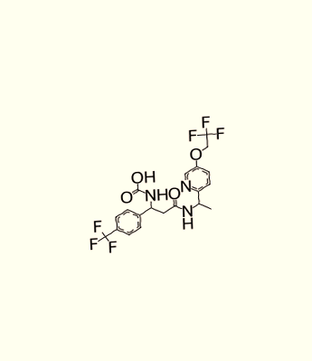 CC(NC(=O)CC(NC(=O)O)c1ccc(C(F)(F)F)cc1)c1ccc(OCC(F)(F)F)cn1